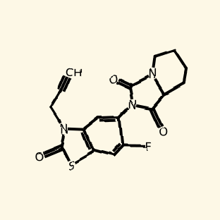 C#CCn1c(=O)sc2cc(F)c(N3C(=O)C4CCCCN4C3=O)cc21